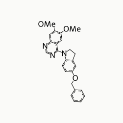 COc1cc2ncnc(N3CCc4cc(OCc5ccccc5)ccc43)c2cc1OC